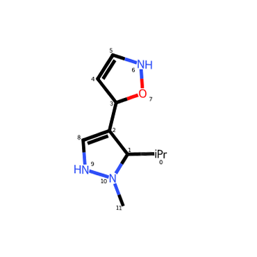 CC(C)C1C(C2C=CNO2)=CNN1C